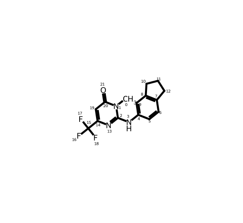 Cn1c(Nc2ccc3c(c2)CCC3)nc(C(F)(F)F)cc1=O